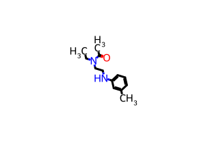 CCN(CCNc1cccc(C)c1)C(C)=O